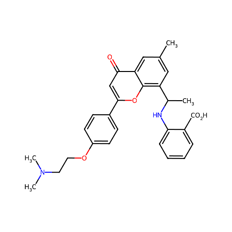 Cc1cc(C(C)Nc2ccccc2C(=O)O)c2oc(-c3ccc(OCCN(C)C)cc3)cc(=O)c2c1